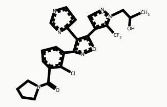 CC(O)Cn1ncc(-c2onc(-c3cccc(C(=O)N4CCCC4)c3Cl)c2-c2ccncn2)c1C(F)(F)F